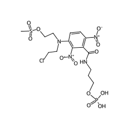 CS(=O)(=O)OCCN(CCCl)c1ccc([N+](=O)[O-])c(C(=O)NCCCOP(=O)(O)O)c1[N+](=O)[O-]